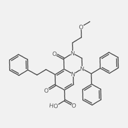 COCCN1CN(C(c2ccccc2)c2ccccc2)n2cc(C(=O)O)c(=O)c(CCc3ccccc3)c2C1=O